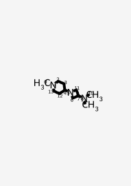 CN1CCC(N2CC(N(C)C)C2)CC1